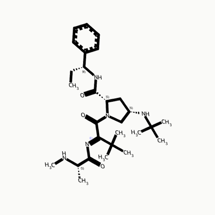 CC[C@@H](NC(=O)[C@@H]1C[C@H](NC(C)(C)C)CN1C(=O)/C(=N/C(=O)[C@H](C)NC)C(C)(C)C)c1ccccc1